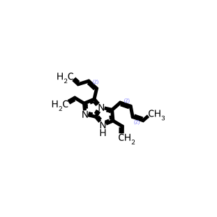 C=C/C=C\c1c(C=C)nc2[nH]c(C=C)c(/C=C\C=C/C)n12